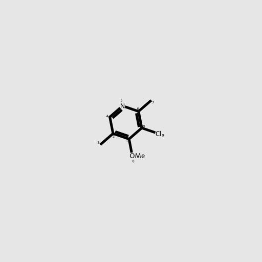 COc1c(C)cnc(C)c1Cl